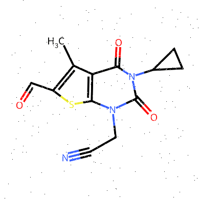 Cc1c(C=O)sc2c1c(=O)n(C1CC1)c(=O)n2CC#N